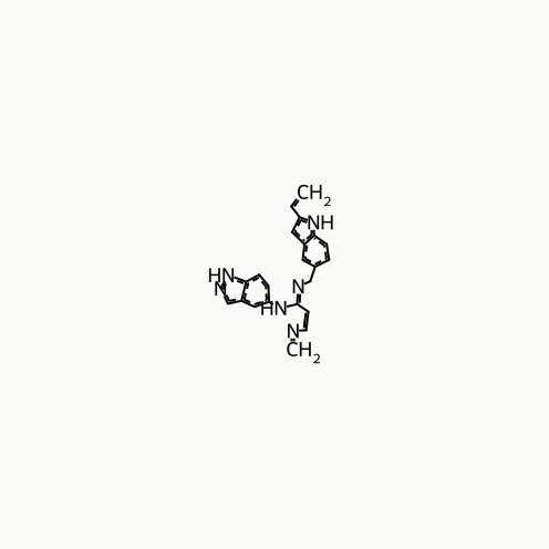 C=Cc1cc2cc(C/N=C(\C=C/N=C)Nc3ccc4[nH]ncc4c3)ccc2[nH]1